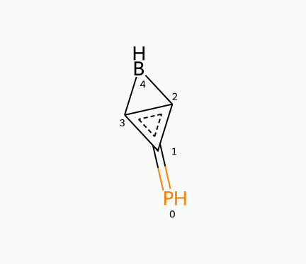 P=c1c2c1B2